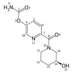 NC(=O)Oc1ccc(C(=O)N2CCC[C@H](O)C2)nc1